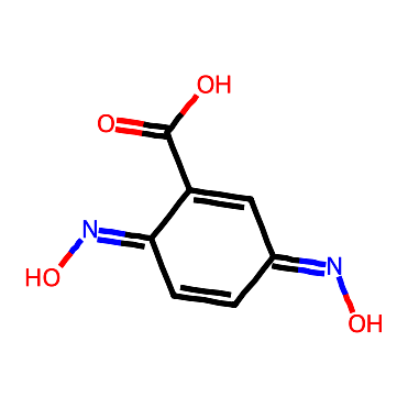 O=C(O)C1=CC(=NO)C=CC1=NO